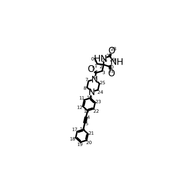 CCC1(CC(=O)N2CCN(c3ccc(C#Cc4ccccc4)cc3)CC2)NC(=O)NC1=O